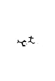 COCC(n1cc(C(C)C)cn1)C(F)(F)F